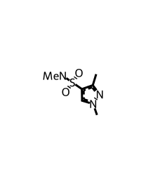 CNS(=O)(=O)c1cn(C)nc1C